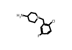 NC1CCN(Cc2cc(F)ccc2Cl)CC1